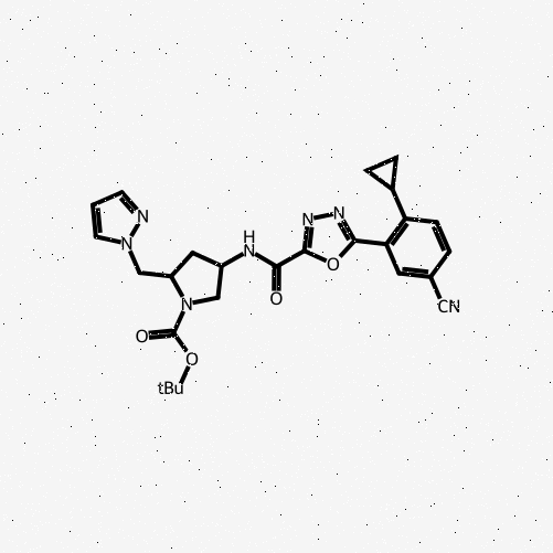 CC(C)(C)OC(=O)N1CC(NC(=O)c2nnc(-c3cc(C#N)ccc3C3CC3)o2)CC1Cn1cccn1